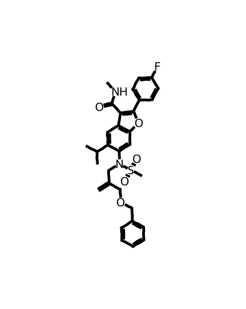 C=C(COCc1ccccc1)CN(c1cc2oc(-c3ccc(F)cc3)c(C(=O)NC)c2cc1C(C)C)S(C)(=O)=O